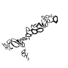 COC[C@H]1C[C@@H](c2ncc(-c3ccc4c(c3)COc3cc5c(ccc6nc([C@@H]7CCC(C)N7C(=O)OCc7ccccc7)[nH]c65)cc3-4)[nH]2)N(C(=O)OC(C)(C)C)C1